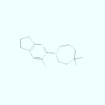 FC1(F)CCCN(c2nc3c(cc2Br)CCC3)CC1